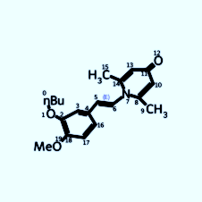 CCCCOc1cc(/C=C/n2c(C)cc(=O)cc2C)ccc1OC